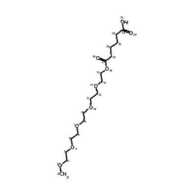 COCCOCCOCCOCCOCCOC(=O)CCCCC(=O)O